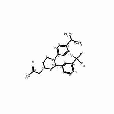 CC(C)c1ccc(N2CC[C@H](CC(=O)O)C[C@@H]2c2cccc(C(F)(F)F)c2)cc1